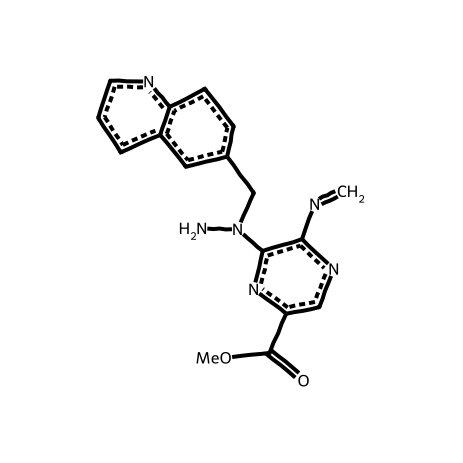 C=Nc1ncc(C(=O)OC)nc1N(N)Cc1ccc2ncccc2c1